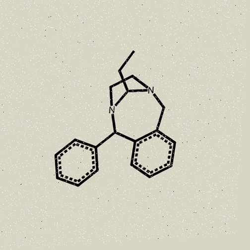 CCC1N2CCN1C(c1ccccc1)c1ccccc1C2